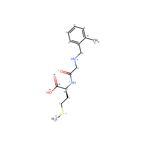 CSCC[C@H](NC(=O)CNCc1ccccc1C)C(=O)O